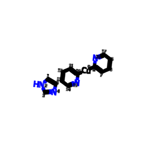 c1c[nH]cn1.c1cc[c]([Cu][c]2ccccn2)nc1